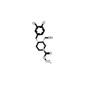 O=C(OC(Cl)(Cl)Cl)N1CC[C@H](Cc2ccc(Cl)c(Cl)c2)[C@H](CO)C1